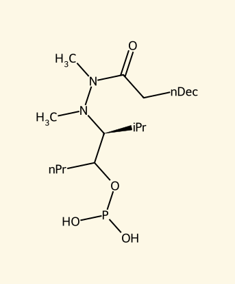 CCCCCCCCCCCC(=O)N(C)N(C)[C@@H](C(C)C)C(CCC)OP(O)O